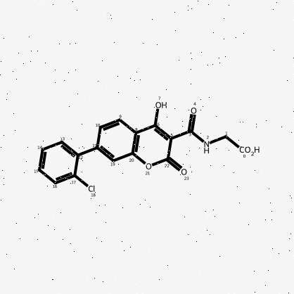 O=C(O)CNC(=O)c1c(O)c2ccc(-c3ccccc3Cl)cc2oc1=O